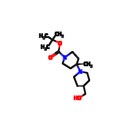 CC(C)(C)OC(=O)N1CCC(C)(N2CCC(CO)CC2)CC1